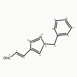 O=C/C=C/c1cn(Cc2ccccc2)nn1